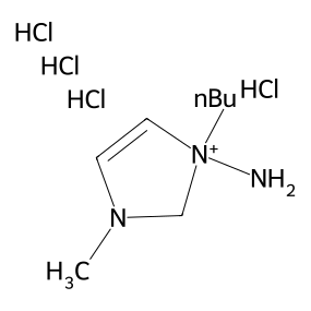 CCCC[N+]1(N)C=CN(C)C1.Cl.Cl.Cl.Cl